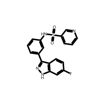 O=S(=O)(Nc1cccc(-c2n[nH]c3cc(F)ccc23)c1)c1cccnc1